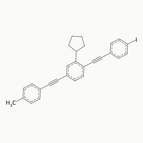 Cc1ccc(C#Cc2ccc(C#Cc3ccc(I)cc3)c(C3CCCC3)c2)cc1